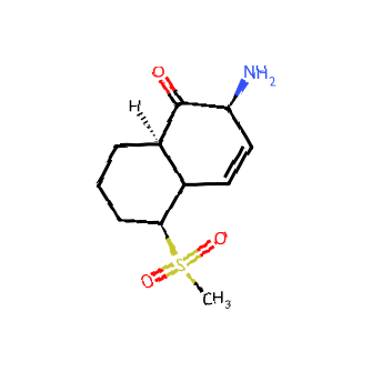 CS(=O)(=O)[C@H]1CCC[C@H]2C(=O)[C@@H](N)C=CC21